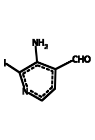 Nc1c(C=O)ccnc1I